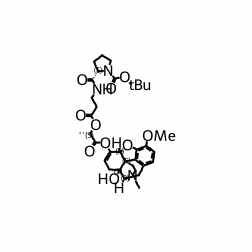 COc1ccc2c3c1O[C@H]1C(OC(=O)[C@H](C)OC(=O)CCNC(=O)[C@@H]4CCCN4C(=O)OC(C)(C)C)=CC[C@@]4(O)[C@@H](C2)N(C)CC[C@]314